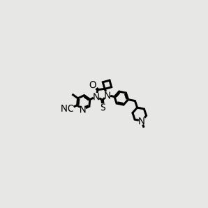 Cc1cc(N2C(=O)C3(CCC3)N(c3ccc(CC4CCN(C)CC4)cc3)C2=S)cnc1C#N